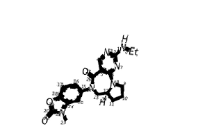 CCNc1ncc2c(n1)N1CCC[C@H]1CN(c1ccc3oc(=O)n(C)c3c1)C2=O